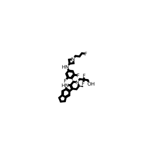 C[C@H]1Cc2c([nH]c3cc4c(cc23)CCC4)[C@H](c2c(F)cc(NC3CN(CCCF)C3)cc2F)N1CC(F)(F)CO